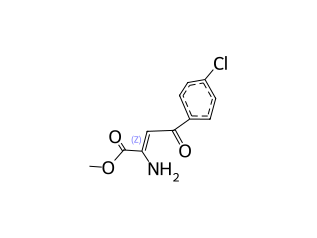 COC(=O)/C(N)=C/C(=O)c1ccc(Cl)cc1